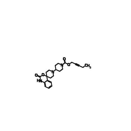 CCC#CCOC(=O)N1CCC(N2CCC3(CC2)OC(=O)Nc2ccccc23)CC1